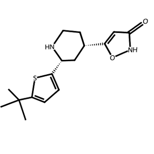 CC(C)(C)c1ccc([C@H]2C[C@@H](c3cc(=O)[nH]o3)CCN2)s1